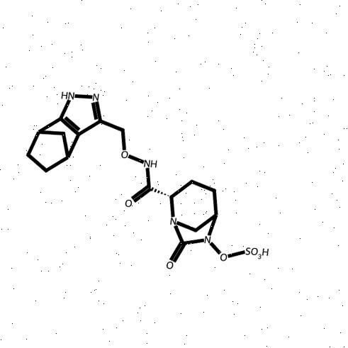 O=C(NOCc1n[nH]c2c1C1CCC2C1)[C@@H]1CCC2CN1C(=O)N2OS(=O)(=O)O